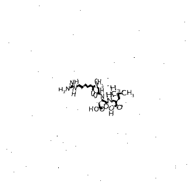 CC(C)C[C@H](NC(=O)[C@H](CC(=O)O)NC(=O)CN(C)C(=O)CCCCCNC(=N)N)C(=O)O